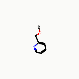 CCO[CH]c1ccccn1